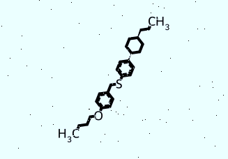 CCCCOc1ccc(CSc2ccc([C@H]3CC[C@H](CCC)CC3)cc2)cc1